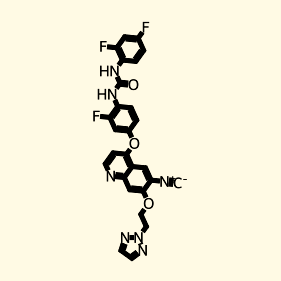 [C-]#[N+]c1cc2c(Oc3ccc(NC(=O)Nc4ccc(F)cc4F)c(F)c3)ccnc2cc1OCCn1nccn1